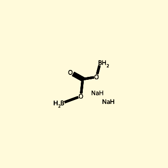 BOC(=O)OB.[NaH].[NaH]